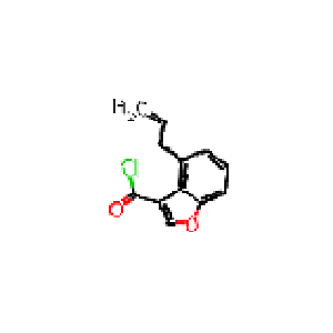 C=CCc1cccc2occ(C(=O)Cl)c12